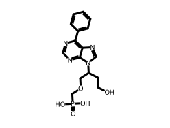 O=P(O)(O)COCC(CCO)n1cnc2c(-c3ccccc3)ncnc21